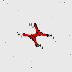 CCCCCCCCCCCC(=O)OC1CCC(OC(=O)CCCCCCCCCCC)c2cc(-c3ccc(-c4ccc5c(c4)C(OC(=O)CCCCCCCCCCC)CCC5OC(=O)CCCCCCCCCCC)cc3)ccc21